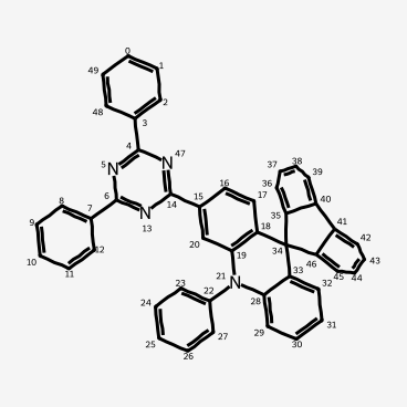 c1ccc(-c2nc(-c3ccccc3)nc(-c3ccc4c(c3)N(c3ccccc3)c3ccccc3C43c4ccccc4-c4ccccc43)n2)cc1